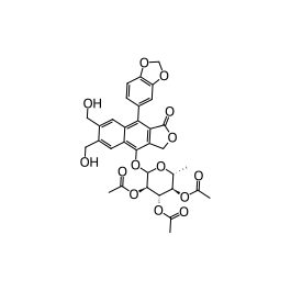 CC(=O)O[C@H]1[C@H](OC(C)=O)[C@@H](OC(C)=O)C(Oc2c3c(c(-c4ccc5c(c4)OCO5)c4cc(CO)c(CO)cc24)C(=O)OC3)O[C@@H]1C